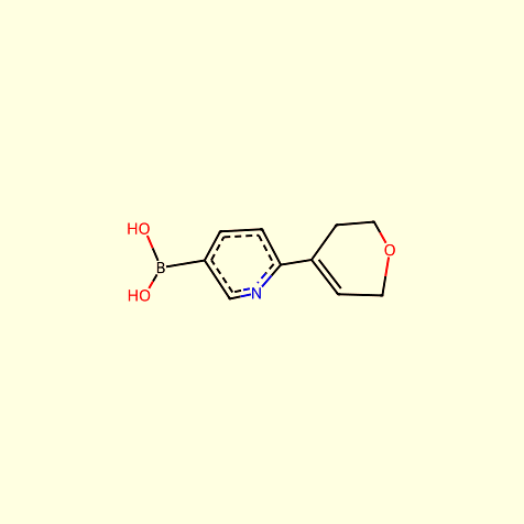 OB(O)c1ccc(C2=CCOCC2)nc1